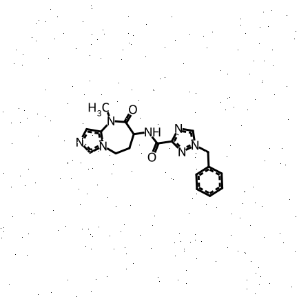 CN1C(=O)C(NC(=O)c2ncn(Cc3ccccc3)n2)CCn2cncc21